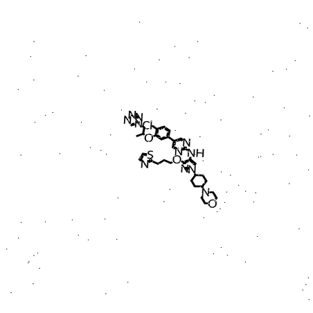 CC(Cn1cnnn1)Oc1cc(-c2cnc(Nc3cn(C4CCC(N5CCOCC5)CC4)nc3OCCCc3nccs3)nc2)ccc1Cl